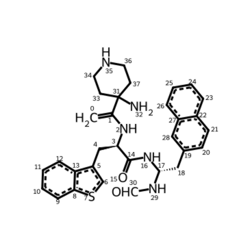 C=C(N[C@H](Cc1csc2ccccc12)C(=O)N[C@H](Cc1ccc2ccccc2c1)NC=O)C1(N)CCNCC1